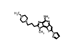 CN1CCN(CCCc2nc3c(N)nc4cc(-n5cccn5)sc4c3n2C)CC1